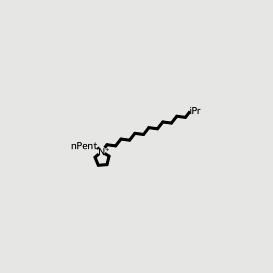 CCCCC[N+]1(CCCCCCCCCCCCC(C)C)CCCC1